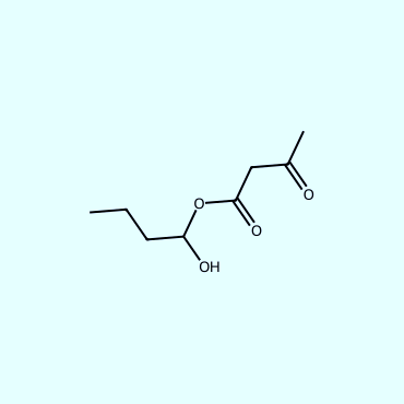 CCCC(O)OC(=O)CC(C)=O